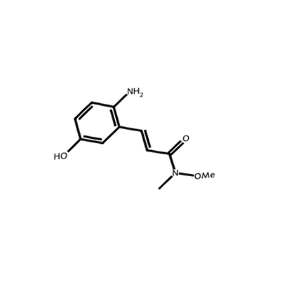 CON(C)C(=O)C=Cc1cc(O)ccc1N